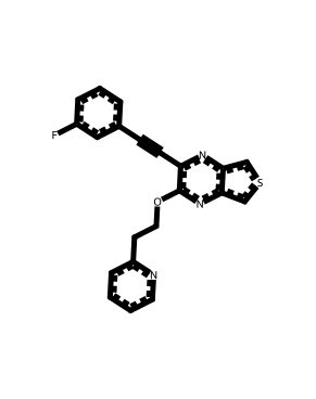 Fc1cccc(C#Cc2nc3cscc3nc2OCCc2ccccn2)c1